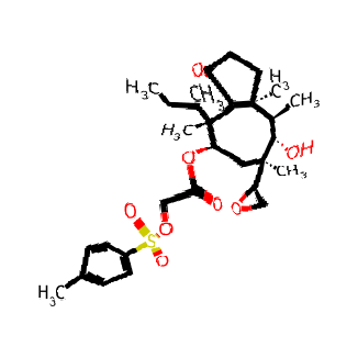 CC[C@@H](C)[C@]1(C)C2C(=O)CC[C@@]2(C)[C@@H](C)[C@H](O)[C@@](C)([C@H]2CO2)C[C@H]1OC(=O)COS(=O)(=O)c1ccc(C)cc1